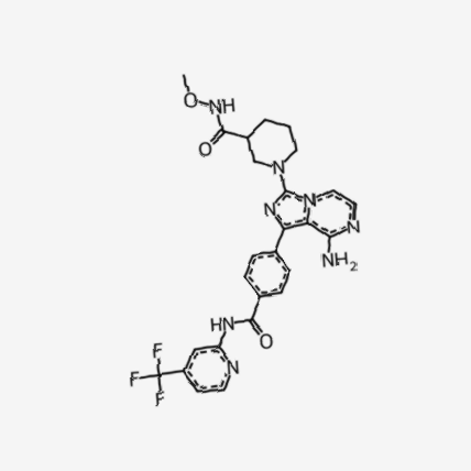 CONC(=O)C1CCCN(c2nc(-c3ccc(C(=O)Nc4cc(C(F)(F)F)ccn4)cc3)c3c(N)nccn23)C1